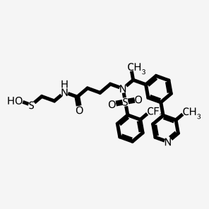 Cc1cnccc1-c1cccc(C(C)N(CCCC(=O)NCCSO)S(=O)(=O)c2ccccc2C(F)(F)F)c1